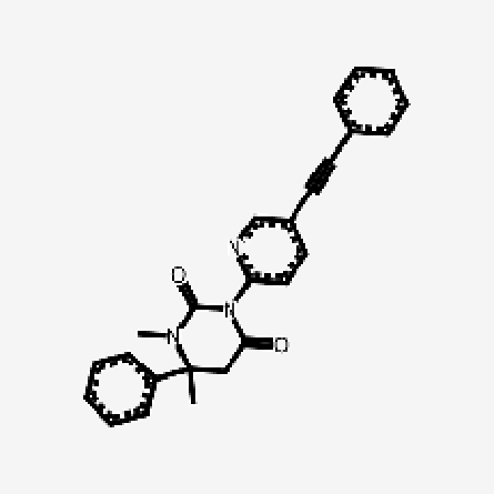 CN1C(=O)N(c2ccc(C#Cc3ccccc3)cn2)C(=O)CC1(C)c1ccccc1